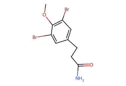 COc1c(Br)cc(CCC(N)=O)cc1Br